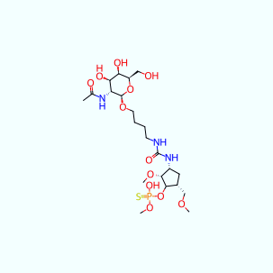 COC[C@H]1C[C@@H](NC(=O)NCCCCO[C@@H]2O[C@H](CO)[C@H](O)[C@H](O)[C@H]2NC(C)=O)[C@@H](OC)C1OP(O)(=S)OC